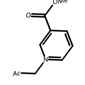 COC(=O)c1ccc[n+](CC(C)=O)c1